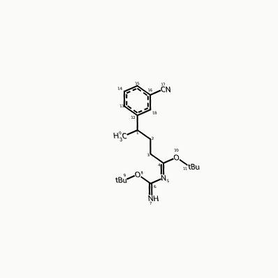 CC(CC/C(=N\C(=N)OC(C)(C)C)OC(C)(C)C)c1cccc(C#N)c1